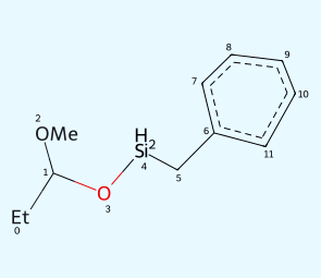 CCC(OC)O[SiH2]Cc1ccccc1